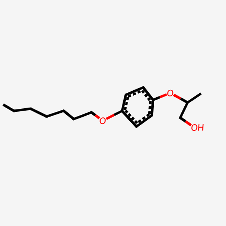 CCCCCCCOc1ccc(OC(C)CO)cc1